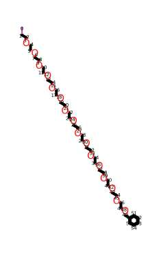 ICCOCCOCCOCCOCCOCCOCCOCCOCCOCCOCCOCCOCCOCCOCCOCCOCc1ccccc1